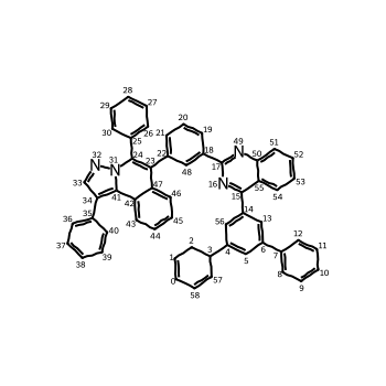 C1=CCC(c2cc(-c3ccccc3)cc(-c3nc(-c4cccc(-c5c(-c6ccccc6)n6ncc(-c7ccccc7)c6c6ccccc56)c4)nc4ccccc34)c2)C=C1